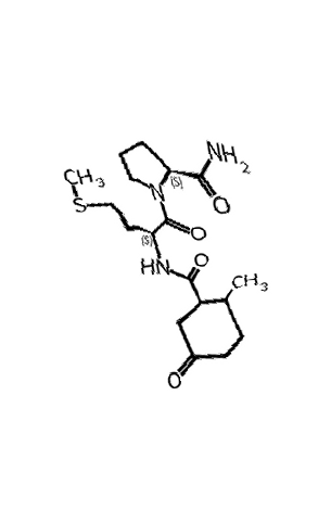 CSCC[C@H](NC(=O)C1CC(=O)CCC1C)C(=O)N1CCC[C@H]1C(N)=O